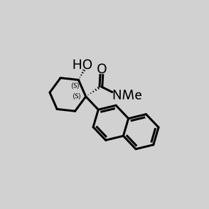 CNC(=O)[C@]1(c2ccc3ccccc3c2)CCCC[C@@H]1O